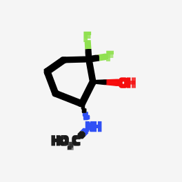 O=C(O)N[C@@H]1CCCC(F)(F)[C@H]1O